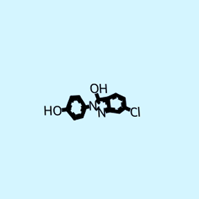 Oc1ccc(-n2nc3cc(Cl)ccc3c2O)cc1